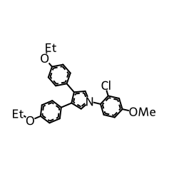 CCOc1ccc(-c2cn(-c3ccc(OC)cc3Cl)cc2-c2ccc(OCC)cc2)cc1